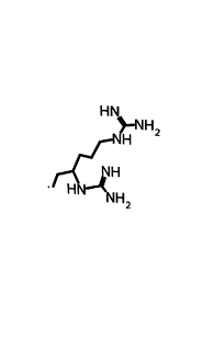 [CH2]CC(CCCNC(=N)N)NC(=N)N